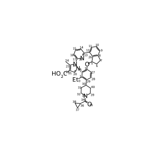 CCc1cc(OC2CCc3cccc(-c4cccc(-n5ncc(C(=O)O)c5C)n4)c32)ccc1C1CCN(C(=O)C2CC2)CC1